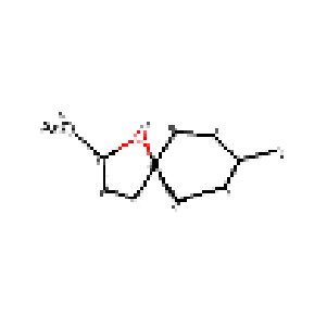 CC(=O)OC1CCC2(CCC(C)CC2)O1